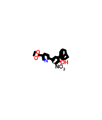 O=[N+]([O-])c1cc(-c2ccc(C3OCCO3)cn2)cc(C23CC4CC(CC(C4)C2)C3)c1O